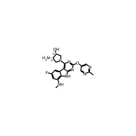 CNc1cc(F)cc2c1[nH]c1nc(Oc3cnc(C)nc3)nc(N3C[C@H](N)[C@@H](O)C3)c12